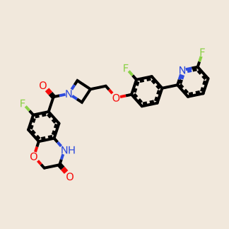 O=C1COc2cc(F)c(C(=O)N3CC(COc4ccc(-c5cccc(F)n5)cc4F)C3)cc2N1